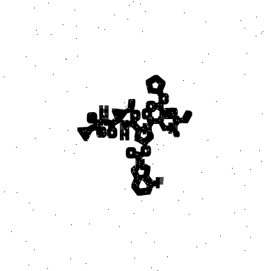 C=CC(=O)N(C)C[C@H](NC(=O)OC1CCCC1)C(=O)N1C[C@H](OC(=O)N2Cc3cccc(F)c3C2)CC1C(=O)N[C@]1(C(=O)NS(=O)(=O)C2CC2)C[C@H]1C=C